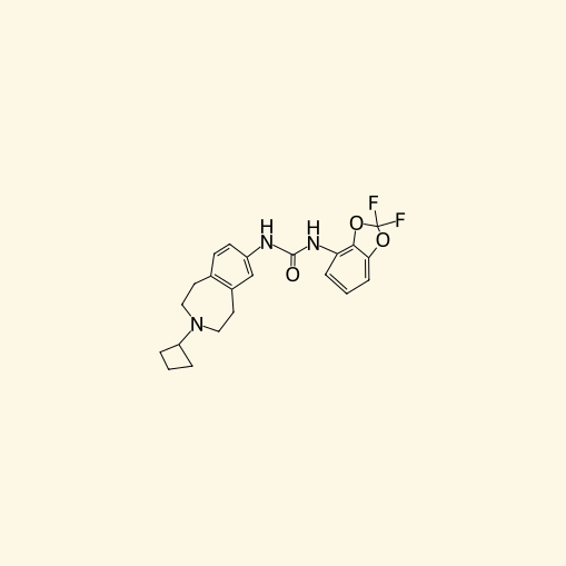 O=C(Nc1ccc2c(c1)CCN(C1CCC1)CC2)Nc1cccc2c1OC(F)(F)O2